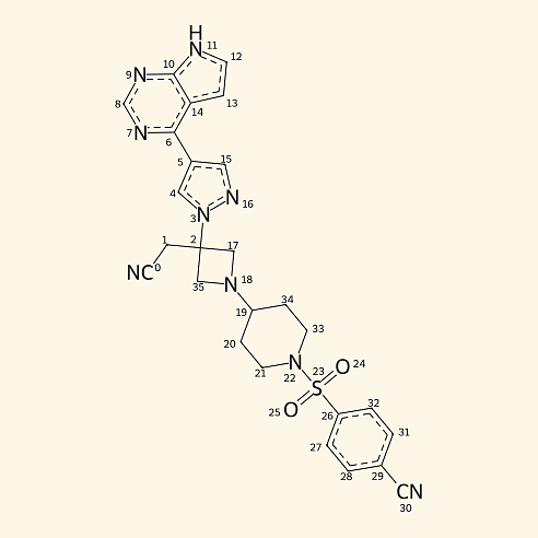 N#CCC1(n2cc(-c3ncnc4[nH]ccc34)cn2)CN(C2CCN(S(=O)(=O)c3ccc(C#N)cc3)CC2)C1